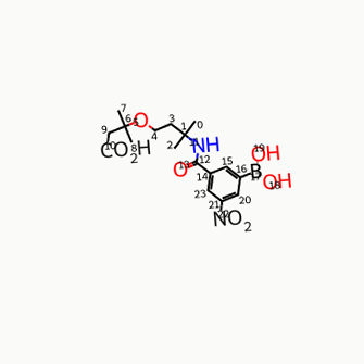 CC(C)(CCOC(C)(C)CC(=O)O)NC(=O)c1cc(B(O)O)cc([N+](=O)[O-])c1